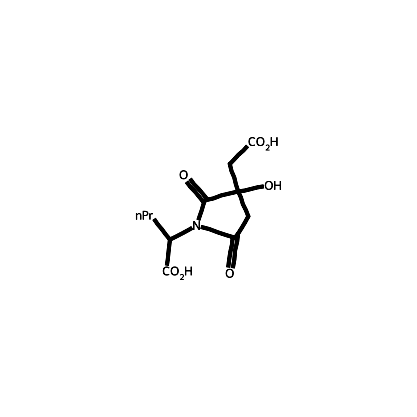 CCCC(C(=O)O)N1C(=O)CC(O)(CC(=O)O)C1=O